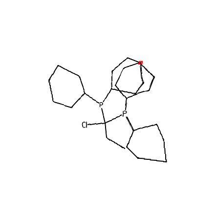 CCC(Cl)(P(C1CCCCC1)C1CCCCC1)P(C1CCCCC1)C1CCCCC1